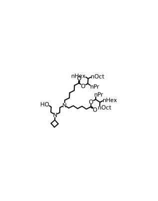 CCCCCCCCC(CCCCCC)C(CCC)OC(=O)CCCCCN(CCCCCC(=O)OC(CCC)C(CCCCCC)CCCCCCCC)CCN(CCO)C1CCC1